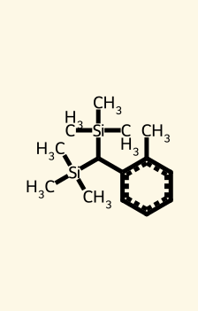 Cc1ccccc1C([Si](C)(C)C)[Si](C)(C)C